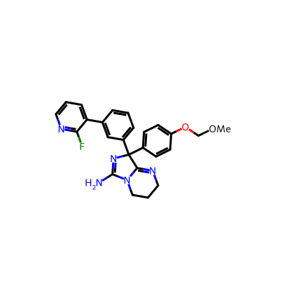 COCOc1ccc(C2(c3cccc(-c4cccnc4F)c3)N=C(N)N3CCCN=C32)cc1